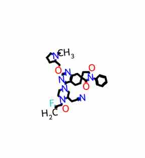 C=C(F)C(=O)N1CCN(c2nc(OCC3CCCN3C)nc3c2CCC2(CC(=O)N(c4ccccc4)C2=O)C3)CC1CC#N